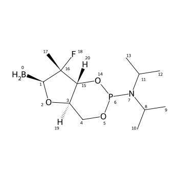 B[C@@H]1O[C@@H]2COP(N(C(C)C)C(C)C)O[C@H]2[C@@]1(C)F